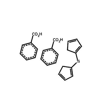 C1=CC[C]([Ti][C]2=CC=CC2)=C1.O=C(O)c1ccccc1.O=C(O)c1ccccc1